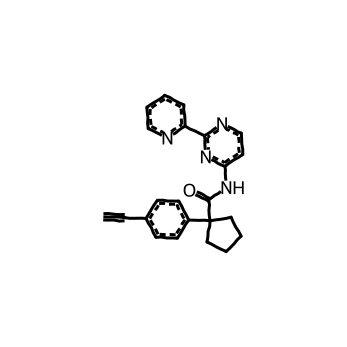 C#Cc1ccc(C2(C(=O)Nc3ccnc(-c4ccccn4)n3)CCCC2)cc1